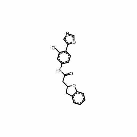 O=C(CC1Cc2ccccc2O1)Nc1ccc(-c2cnco2)c(Cl)c1